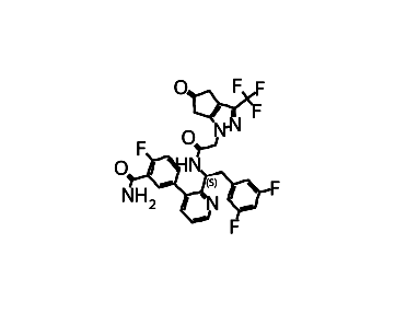 NC(=O)c1cc(-c2cccnc2[C@H](Cc2cc(F)cc(F)c2)NC(=O)Cn2nc(C(F)(F)F)c3c2CC(=O)C3)ccc1F